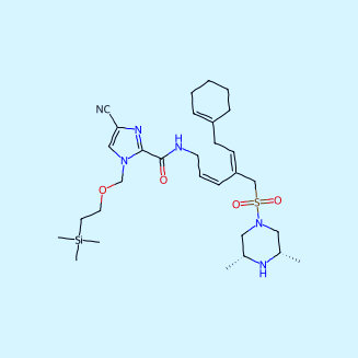 C[C@@H]1CN(S(=O)(=O)CC(/C=C\CNC(=O)c2nc(C#N)cn2COCC[Si](C)(C)C)=C/CC2=CCCCC2)C[C@H](C)N1